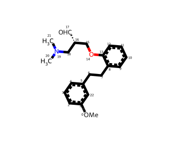 COc1cccc(CCc2ccccc2OC[C@@H](C=O)CN(C)C)c1